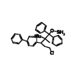 CC(C)(C)C(C)(C(CCCl)c1ccc(-c2ccccc2)cc1)C(O[SiH3])(c1ccccc1)c1ccccc1